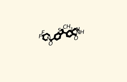 Cc1sc2cc(C(=O)N3CCC(F)(F)CC3)ccc2c1-c1ccc2c(=O)[nH]ncc2c1